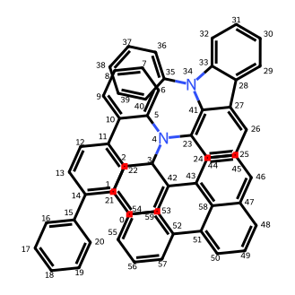 C1=CCC(N(c2ccccc2-c2ccc(-c3ccccc3)cc2)c2cccc3c4ccccc4n(-c4ccccc4)c23)C(c2cccc3cccc(-c4ccccc4)c23)=C1